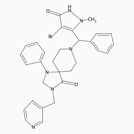 Cn1[nH]c(=O)c(Br)c1C(c1ccccc1)N1CCC2(CC1)C(=O)N(Cc1cccnc1)CN2c1ccccc1